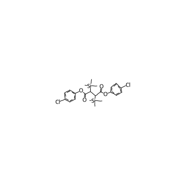 C[Si](C)(C)C(C(=O)Oc1ccc(Cl)cc1)C(C(=O)Oc1ccc(Cl)cc1)[Si](C)(C)C